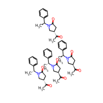 CC(=O)[C@@H]1CC(=O)N([C@@H](C)c2ccccc2)C1.CC(=O)[C@@H]1CC(=O)N([C@H](C)c2ccccc2)C1.CC(=O)[C@H]1CC(=O)N([C@@H](C)c2ccccc2)C1.CC(=O)[C@H]1CC(=O)N([C@H](C)c2ccccc2)C1